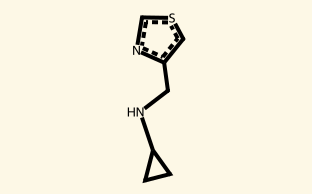 c1nc(CNC2CC2)cs1